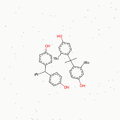 CC(C)(C)c1cc(O)ccc1C(C)(C)c1ccc(O)cc1C(C)(C)C.CC(C)C(c1ccc(O)cc1)c1ccc(O)cc1